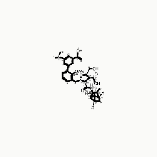 C=C(O)c1cc(-c2cccc(CN3O[C@@H](CO)[C@@H]([C@H](C)O)[C@H]3C(=O)N[C@H]3C[C@H]4C[C@@H]([C@@H]3C)C4(C)C)c2OC)cc(N(C)C)c1